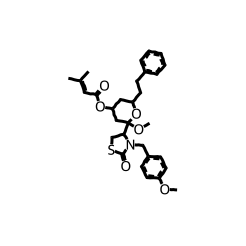 COc1ccc(CN2C(=O)SCC2C2(OC)CC(OC(=O)C=C(C)C)CC(CCc3ccccc3)O2)cc1